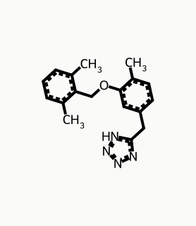 Cc1ccc(Cc2nnn[nH]2)cc1OCc1c(C)cccc1C